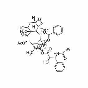 CCCC(=O)N[C@@H](c1ccccc1)[C@@H](O)C(=O)O[C@@H]1C[C@]2(O)[C@@H](OC(=O)c3ccccc3)[C@@H]3[C@]4(OC(C)=O)CO[C@H]4C[C@H](O)[C@@]3(C)C(=O)[C@H](OC(C)=O)C(=C1C)C2(C)C